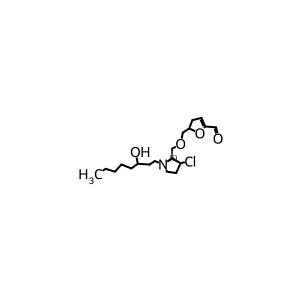 CCCCCC(O)CCN1CCC(Cl)[C@@H]1COCC1CC=C(C=O)O1